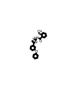 CSc1ccccc1C(=O)Nc1nc(-c2cccc(Oc3ccccc3)c2)cs1